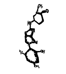 Cc1cc(C)c(-n2cc3sc(NC4CCC(=O)N(C)C4)nc3n2)c(O)c1